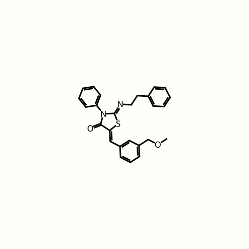 COCc1cccc(/C=C2\S/C(=N\CCc3ccccc3)N(c3ccccc3)C2=O)c1